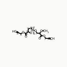 C#CCOC(=O)C(COP1(F)(F)OCC(C(=O)OCC#C)O1)OC